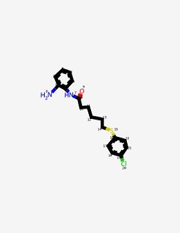 Nc1ccccc1NC(=O)CCCCCSc1ccc(Cl)cc1